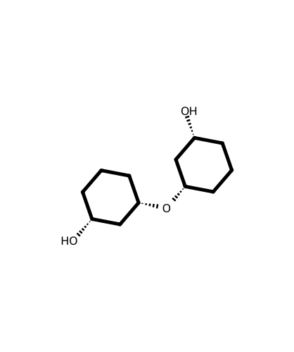 O[C@@H]1CCC[C@H](O[C@H]2CCC[C@@H](O)C2)C1